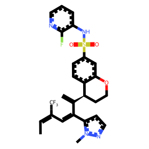 C=C(/C(=C\C(=C/C)C(F)(F)F)c1ccnn1C)[C@@H]1CCOc2cc(S(=O)(=O)Nc3cccnc3F)ccc21